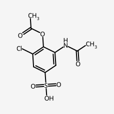 CC(=O)Nc1cc(S(=O)(=O)O)cc(Cl)c1OC(C)=O